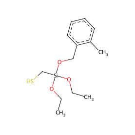 CCO[Si](CS)(OCC)OCc1ccccc1C